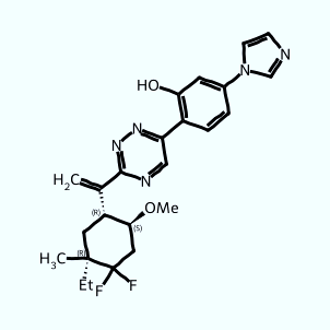 C=C(c1ncc(-c2ccc(-n3ccnc3)cc2O)nn1)[C@H]1C[C@@](C)(CC)C(F)(F)C[C@@H]1OC